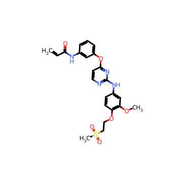 C=CC(=O)Nc1cccc(Oc2ccnc(Nc3ccc(OCCS(C)(=O)=O)c(OC)c3)n2)c1